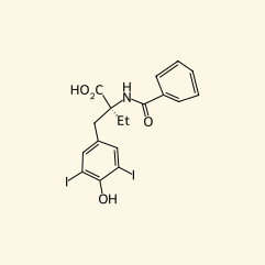 CC[C@@](Cc1cc(I)c(O)c(I)c1)(NC(=O)c1ccccc1)C(=O)O